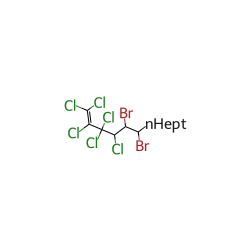 CCCCCCCC(Br)C(Br)C(Cl)C(Cl)(Cl)C(Cl)=C(Cl)Cl